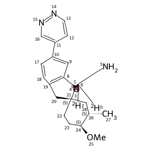 [2H]C1([2H])OC(N)=N[C@]12c1cc(-c3ccnnc3)ccc1C[C@@]21CC[C@H](OC)[C@@H](C)C1